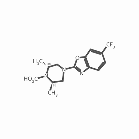 C[C@@H]1CN(c2nc3ccc(C(F)(F)F)cc3o2)C[C@@H](C)N1C(=O)O